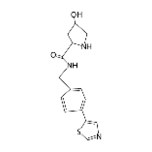 O=C(NCc1ccc(-c2cncs2)cc1)C1CC(O)CN1